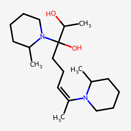 C/C(=C/CCC(O)(C(C)O)N1CCCCC1C)N1CCCCC1C